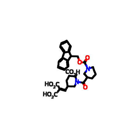 O=C(O)C(=CC1CCC(C(=O)O)N(C(=O)C2CCCN(C(=O)OCC3c4ccccc4-c4ccccc43)C2)C1)C(=O)O